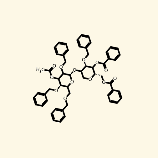 CC(=O)OC1C(OCc2ccccc2)[C@@H](OC2CO[C@@H](COC(=O)c3ccccc3)C(OC(=O)c3ccccc3)[C@@H]2OCc2ccccc2)OC(COCc2ccccc2)[C@H]1OCc1ccccc1